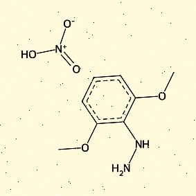 COc1cccc(OC)c1NN.O=[N+]([O-])O